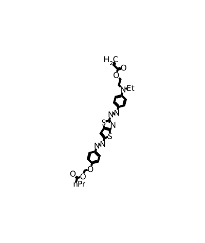 C=CC(=O)OCCN(CC)c1ccc(N=Nc2nc3sc(N=Nc4ccc(OCOC(=O)CCC)cc4)cc3s2)cc1